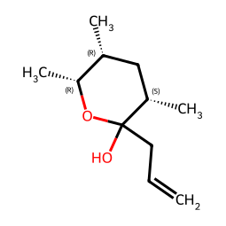 C=CCC1(O)O[C@H](C)[C@H](C)C[C@@H]1C